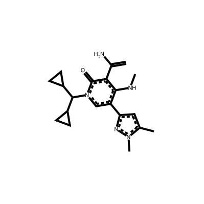 C=C(N)c1c(NC)c(-c2cc(C)n(C)n2)cn(C(C2CC2)C2CC2)c1=O